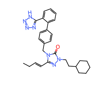 CC/C=C/c1nn(CCC2CCCCC2)c(=O)n1Cc1ccc(-c2ccccc2-c2nnn[nH]2)cc1